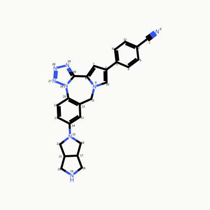 N#Cc1ccc(-c2cc3n(c2)Cc2cc(N4CC5CNCC5C4)ccc2-n2nnnc2-3)cc1